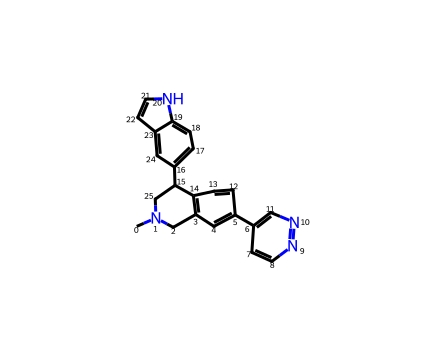 CN1Cc2cc(-c3ccnnc3)ccc2C(c2ccc3[nH]ccc3c2)C1